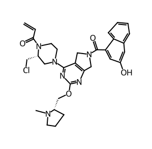 C=CC(=O)N1CCN(c2nc(OC[C@@H]3CCCN3C)nc3c2CN(C(=O)c2cc(O)cc4ccccc24)C3)C[C@@H]1CCl